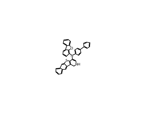 C1=C(N(c2ccc(-c3ccccc3)cc2)c2cccc3c2oc2ccccc23)c2sc3cc4ccccc4cc3c2CN1